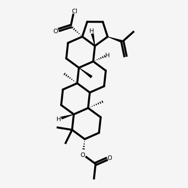 C=C(C)[C@@H]1CC[C@]2(C(=O)Cl)CC[C@]3(C)[C@H](CCC4[C@@]5(C)CC[C@H](OC(C)=O)C(C)(C)[C@@H]5CC[C@]43C)[C@@H]12